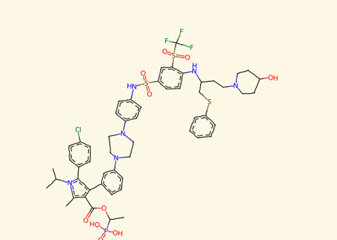 Cc1c(C(=O)OC(C)P(=O)(O)O)c(-c2cccc(N3CCN(c4ccc(NS(=O)(=O)c5ccc(NC(CCN6CCC(O)CC6)CSc6ccccc6)c(S(=O)(=O)C(F)(F)F)c5)cc4)CC3)c2)c(-c2ccc(Cl)cc2)n1C(C)C